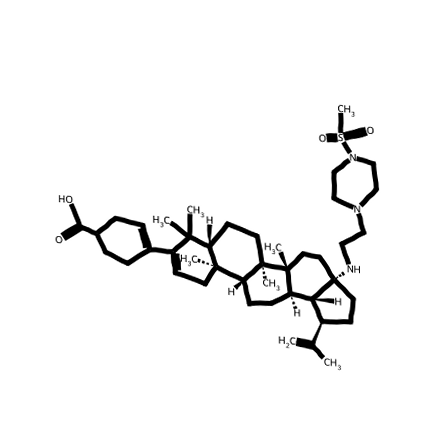 C=C(C)[C@@H]1CC[C@]2(NCCN3CCN(S(C)(=O)=O)CC3)CC[C@]3(C)[C@H](CC[C@@H]4[C@@]5(C)CC=C(C6=CCC(C(=O)O)CC6)C(C)(C)[C@@H]5CC[C@]43C)[C@@H]12